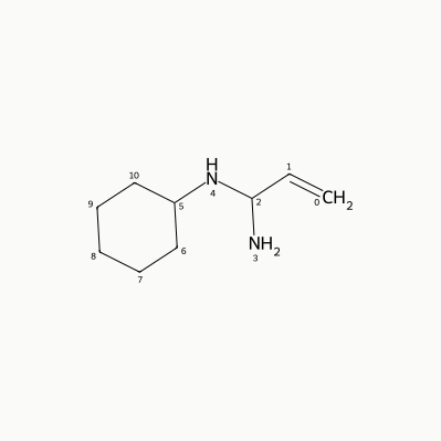 C=CC(N)NC1CCCCC1